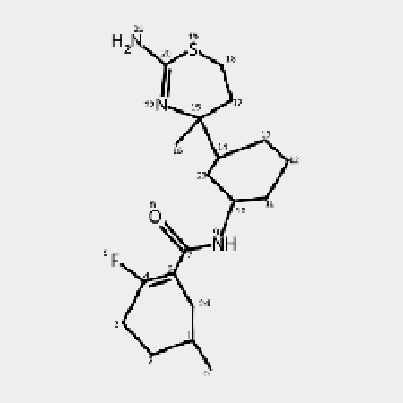 CC1CCC(F)=C(C(=O)NC2CCCC(C3(C)CCSC(N)=N3)C2)C1